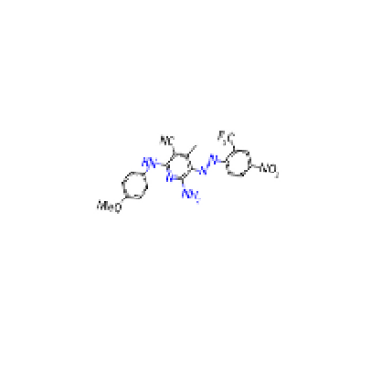 COc1ccc(Nc2nc(N)c(N=Nc3ccc([N+](=O)[O-])cc3C(F)(F)F)c(C)c2C#N)cc1